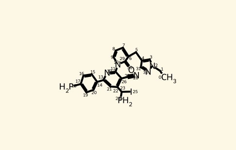 CCn1cc(Cc2cccn(-c3nc(-c4ccc(P)cc4)cc(C(P)I)c3C#N)c2=O)cn1